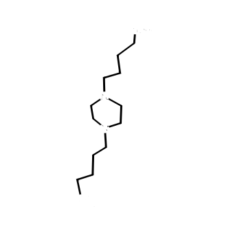 CCCCCCCCCCCCCCN1CCN(CCCCC(=O)O)CC1